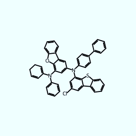 Clc1cc(N(c2ccc(-c3ccccc3)cc2)c2cc(N(C3=CCCC=C3)c3ccccc3)c3oc4ccccc4c3c2)c2sc3ccccc3c2c1